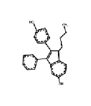 CCCCC1C(c2ccc(O)cc2)=C(c2ccccc2)c2cc(O)ccc21